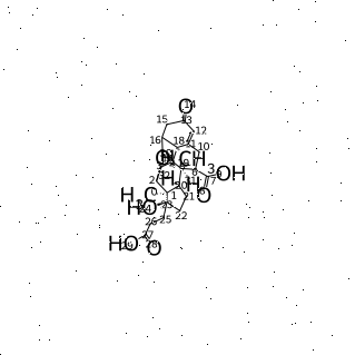 C[C@]12C3C[C@H]4[C@@H](C(C(=O)O)CC5=CC(=O)CC(O3)[C@@]54C)[C@@H]1CC[C@]2(O)CCC(=O)O